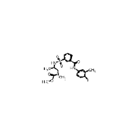 COC(=O)N(C)CC(C)NS(=O)(=O)c1cccc(C(=O)Nc2ccc(F)c(C)c2)c1